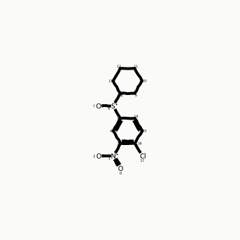 O=[N+]([O-])c1cc([S+]([O-])C2CCCCC2)ccc1Cl